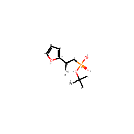 CC(C)C(C)(C)OP(=O)(O)CC(C#N)c1ccco1